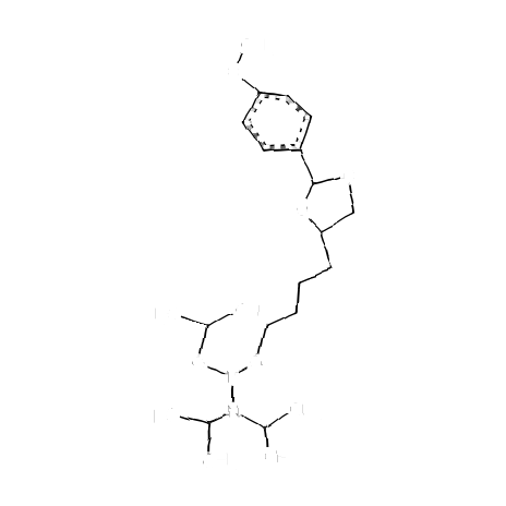 COc1ccc(C2OCC(CCCCOP(OC(C)C)N(C(C)C)C(C)C)O2)cc1